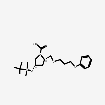 CC(C)(C)[Si](C)(C)O[C@H]1C[C@H](COCCCOc2ccccc2)N(C(=O)O)C1